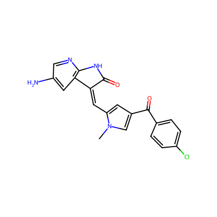 Cn1cc(C(=O)c2ccc(Cl)cc2)cc1C=C1C(=O)Nc2ncc(N)cc21